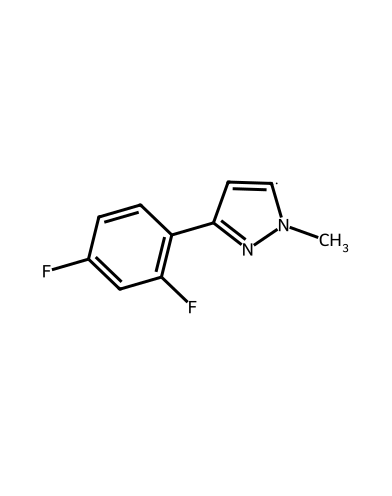 Cn1[c]cc(-c2ccc(F)cc2F)n1